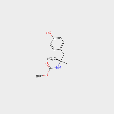 CC(C)(C)OC(=O)N[C@@](C)(Cc1ccc(O)cc1)C(=O)O